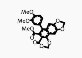 COC(=O)c1c2c(c3cc4c(cc3c1-c1ccc(OC)c(OC)c1)OCO4)OCOC2=O